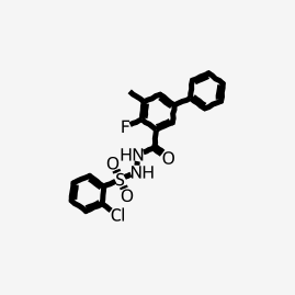 Cc1cc(-c2ccccc2)cc(C(=O)NNS(=O)(=O)c2ccccc2Cl)c1F